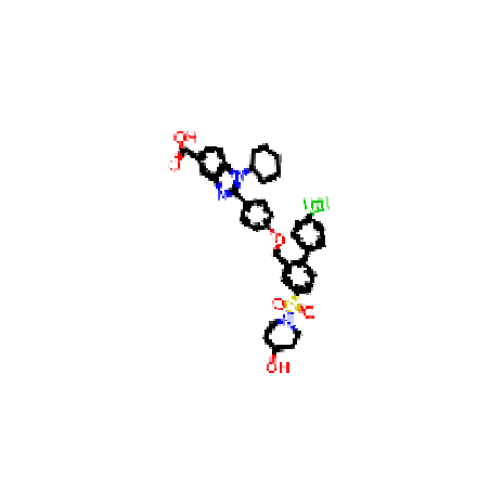 Cl.O=C(O)c1ccc2c(c1)nc(-c1ccc(OCc3cc(S(=O)(=O)N4CCC(O)CC4)ccc3-c3ccc(Cl)cc3)cc1)n2C1CCCCC1